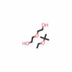 CCOC(C)(C)C.OCCOCCO